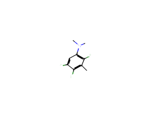 Cc1c(F)c(F)cc(N(C)C)c1F